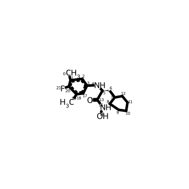 Cc1cc(N[C@H](CC2CCCCC2)C(=O)NO)cc(C)c1F